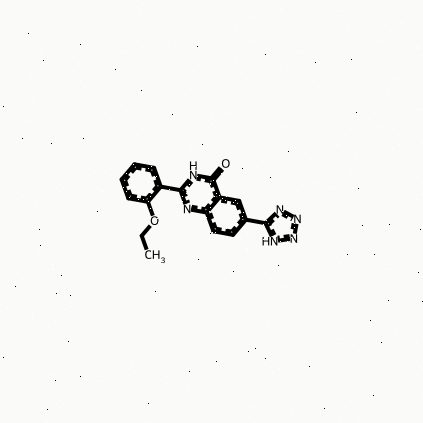 CCOc1ccccc1-c1nc2ccc(-c3nnn[nH]3)cc2c(=O)[nH]1